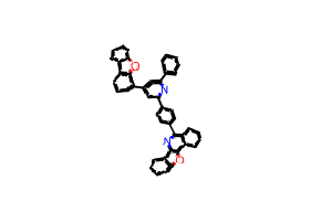 c1ccc(-c2cc(-c3cccc4c3oc3ccccc34)cc(-c3ccc(-c4nc5c6ccccc6oc5c5ccccc45)cc3)n2)cc1